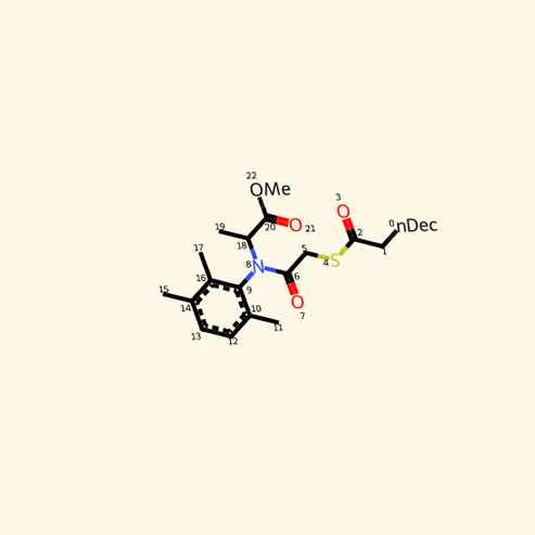 CCCCCCCCCCCC(=O)SCC(=O)N(c1c(C)ccc(C)c1C)C(C)C(=O)OC